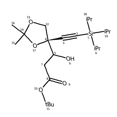 CC(C)[Si](C#C[C@]1(C(O)CC(=O)OC(C)(C)C)COC(C)(C)O1)(C(C)C)C(C)C